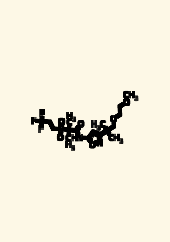 COCCOCC(C)(C)c1cc(NC(=O)C(C)(C)S(=O)(=O)CCC(F)(F)F)on1